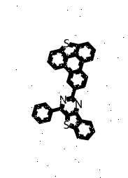 c1ccc(-c2nc(-c3ccc4c(c3)c3cccc5sc6cccc4c6c53)nc3c2sc2ccccc23)cc1